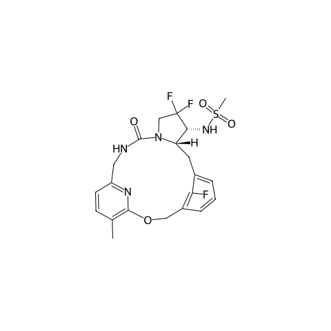 Cc1ccc2nc1OCc1cccc(c1F)C[C@H]1[C@@H](NS(C)(=O)=O)C(F)(F)CN1C(=O)NC2